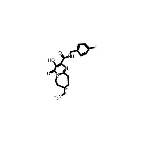 NC[C@@H]1CCc2nc(C(=O)NCc3ccc(F)cc3)c(O)c(=O)n2CC1